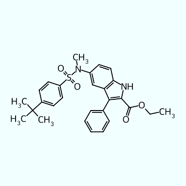 CCOC(=O)c1[nH]c2ccc(N(C)S(=O)(=O)c3ccc(C(C)(C)C)cc3)cc2c1-c1ccccc1